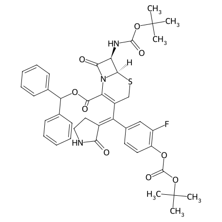 CC(C)(C)OC(=O)N[C@@H]1C(=O)N2C(C(=O)OC(c3ccccc3)c3ccccc3)=C(C(=C3CCNC3=O)c3ccc(OC(=O)OC(C)(C)C)c(F)c3)CS[C@H]12